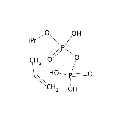 C=CC.CC(C)OP(=O)(O)OP(=O)(O)O